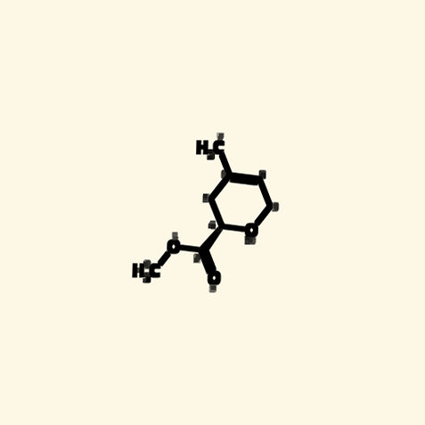 COC(=O)[C@H]1CC(C)=CCO1